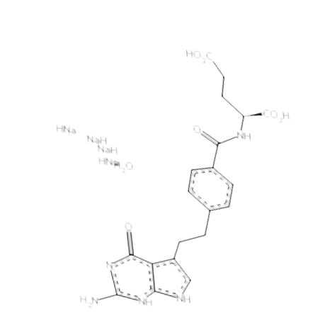 Nc1nc(=O)c2c(CCc3ccc(C(=O)N[C@@H](CCC(=O)O)C(=O)O)cc3)c[nH]c2[nH]1.O.[NaH].[NaH].[NaH].[NaH]